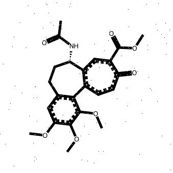 COC(=O)c1cc2c(ccc1=O)-c1c(cc(OC)c(OC)c1OC)CC[C@@H]2NC(C)=O